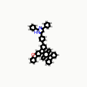 C1=C(c2ccc(-c3ccc4c(c3)-c3cc5oc6ccccc6c5cc3C43c4ccccc4C4(c5ccccc5-c5ccccc54)c4ccccc43)cc2)NC(c2ccccc2)N=C1c1ccccc1